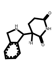 [2H]C1(C2NCc3ccccc32)CCC(=O)NC1=O